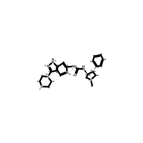 CN1C[C@@H](NC(=O)Nc2cc3[nH]nc(N4CCOCC4)c3cn2)[C@H](c2ccccc2)C1